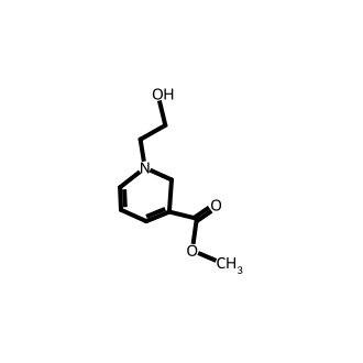 COC(=O)C1=CC=CN(CCO)C1